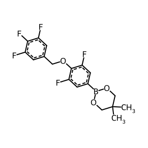 CC1(C)COB(c2cc(F)c(OCc3cc(F)c(F)c(F)c3)c(F)c2)OC1